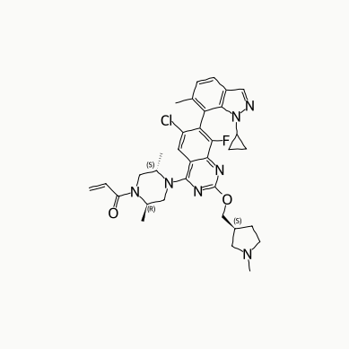 C=CC(=O)N1C[C@H](C)N(c2nc(OC[C@H]3CCN(C)C3)nc3c(F)c(-c4c(C)ccc5cnn(C6CC6)c45)c(Cl)cc23)C[C@H]1C